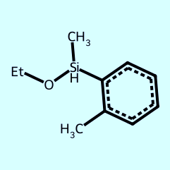 CCO[SiH](C)c1ccccc1C